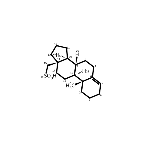 C[C@]12CCCC=C1CC[C@H]1[C@@H]3CCC[C@@]3(CS(=O)(=O)O)CC[C@@H]12